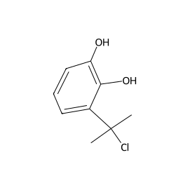 CC(C)(Cl)c1cccc(O)c1O